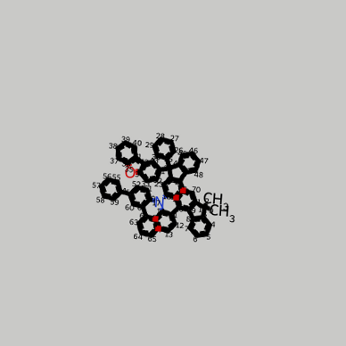 CC1(C)c2ccccc2-c2c(-c3ccccc3N(c3ccc4c(c3)C(c3ccccc3)(c3ccc5oc6ccccc6c5c3)c3ccccc3-4)c3ccc(-c4ccccc4)cc3-c3ccccc3)cccc21